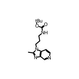 Cc1nc2cnccc2n1CCCNC(=O)OC(C)(C)C